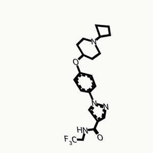 O=C(NCC(F)(F)F)c1cnn(-c2ccc(OC3CCN(C4CCC4)CC3)cc2)c1